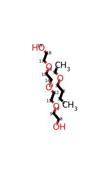 CCCCOCC.OCCOCCOCCOCCO